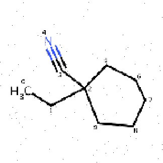 CCC1(C#N)CCCCC1